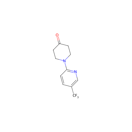 O=C1CCN(c2ccc(C(F)(F)F)cn2)CC1